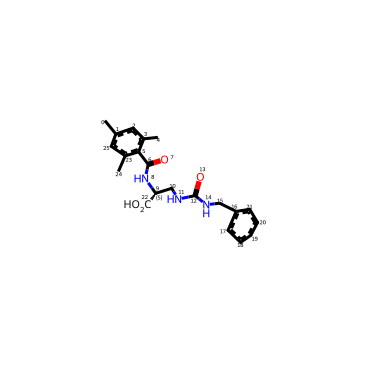 Cc1cc(C)c(C(=O)N[C@@H](CNC(=O)NCc2ccccc2)C(=O)O)c(C)c1